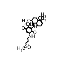 CC1=CCC[C@H]2[C@](C)(CC3=C(O)C(=O)C=C(NCCC[S+](C)[O-])C3=O)[C@@H](C)CC[C@]12C